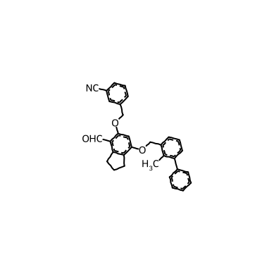 Cc1c(COc2cc(OCc3cccc(C#N)c3)c(C=O)c3c2CCC3)cccc1-c1ccccc1